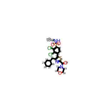 CC(C)(C)NS(=O)(=O)c1ccc(-c2sc(C(=O)N3CCOCC3)nc2CC2CCCCC2)c(Cl)c1Cl